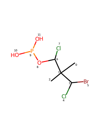 CC(C)(C(Cl)Br)C(Cl)OP(O)O